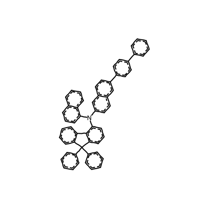 c1ccc(-c2ccc(-c3ccc4cc(N(c5cccc6c5-c5ccccc5C6(c5ccccc5)c5ccccc5)c5cccc6ccccc56)ccc4c3)cc2)cc1